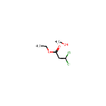 CCOC(=O)CC(Cl)Cl.CO